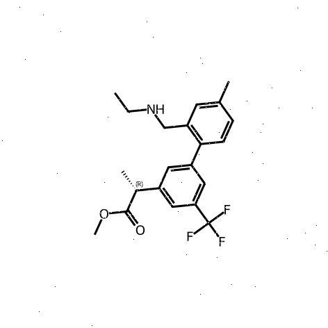 CCNCc1cc(C)ccc1-c1cc([C@@H](C)C(=O)OC)cc(C(F)(F)F)c1